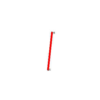 B=BB=BB=BB=BB=BB=BB=BB=BB=BB=BB=BB=BB=BB=BB=BB=BB=BB=BB=BB=BB=BB=BB=BB=BB=BB=BB=BB=BB=BB=BB=BB=BB=BB=BB=BB=BB=BB=BB=BB=BB=BB=BB=BB=BB=BB=BOCC